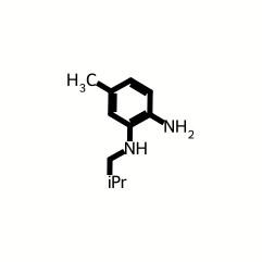 Cc1ccc(N)c(NCC(C)C)c1